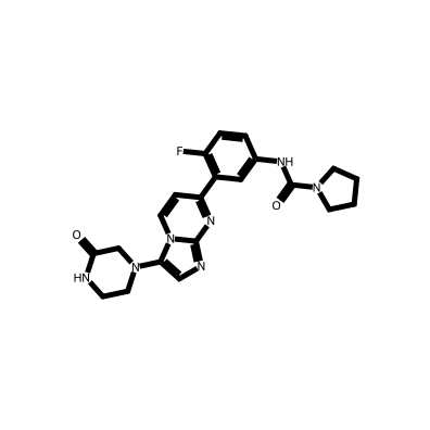 O=C1CN(c2cnc3nc(-c4cc(NC(=O)N5CCCC5)ccc4F)ccn23)CCN1